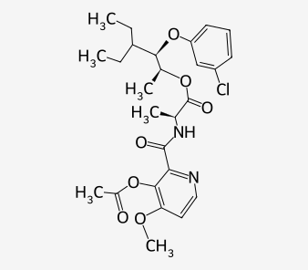 CCC(CC)[C@@H](Oc1cccc(Cl)c1)[C@H](C)OC(=O)[C@H](C)NC(=O)c1nccc(OC)c1OC(C)=O